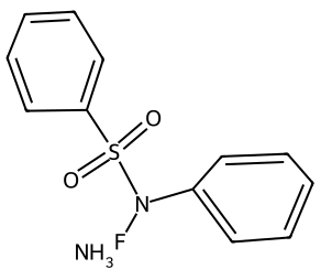 N.O=S(=O)(c1ccccc1)N(F)c1ccccc1